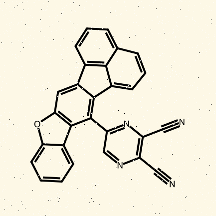 N#Cc1ncc(-c2c3c(cc4oc5ccccc5c24)-c2cccc4cccc-3c24)nc1C#N